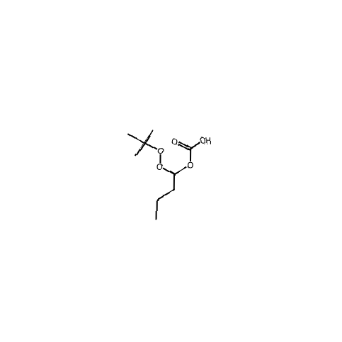 CCCC(OOC(C)(C)C)OC(=O)O